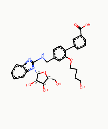 O=C(O)c1cccc(-c2ccc(CNc3nc4ccccc4n3[C@@H]3O[C@H](CO)[C@@H](O)[C@H]3O)cc2OCCCCO)c1